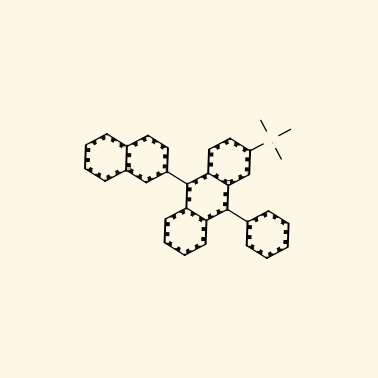 C[Si](C)(C)c1ccc2c(-c3ccc4ccccc4c3)c3ccccc3c(-c3ccccc3)c2c1